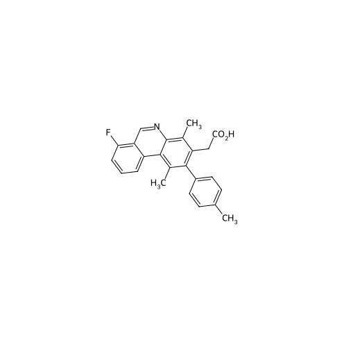 Cc1ccc(-c2c(CC(=O)O)c(C)c3ncc4c(F)cccc4c3c2C)cc1